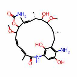 COC1/C=C\C=C(/C)C(=O)Nc2cc(O)c(N)c(c2O)C[C@@H](C)CC(OC)C(O)[C@@H](C)/C=C(\C)C1OC(N)=O